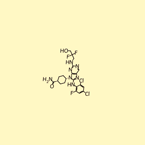 NC(=O)[C@H]1CC[C@H](n2c(Nc3c(F)cc(Cl)cc3Cl)nc3cnc(NCC(F)(F)CO)nc32)CC1